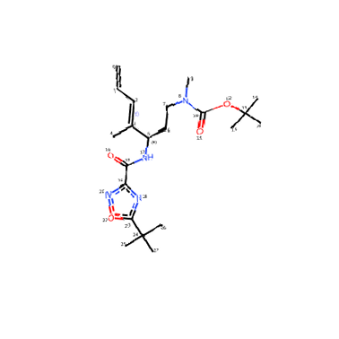 C=C/C=C(\C)[C@@H](CCN(C)C(=O)OC(C)(C)C)NC(=O)c1noc(C(C)(C)C)n1